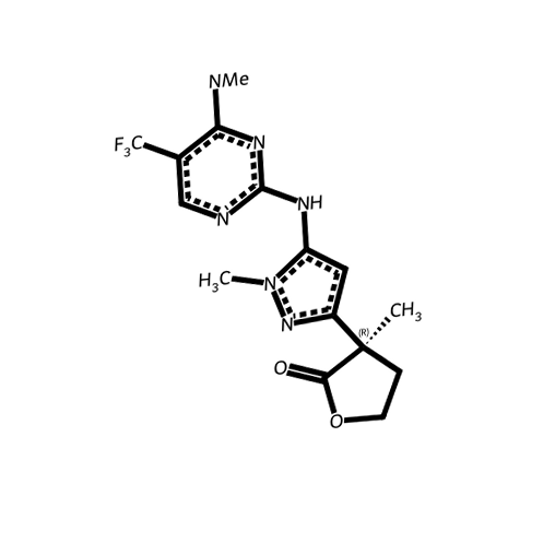 CNc1nc(Nc2cc([C@@]3(C)CCOC3=O)nn2C)ncc1C(F)(F)F